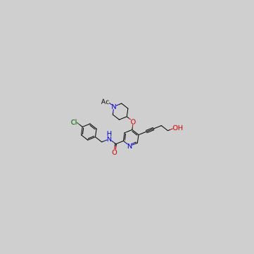 CC(=O)N1CCC(Oc2cc(C(=O)NCc3ccc(Cl)cc3)ncc2C#CCCO)CC1